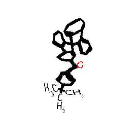 CC(C)(C)c1ccc(C(=O)c2ccc3c(c2)C2(c4ccccc4-c4ccccc42)c2ccccc2-3)cc1